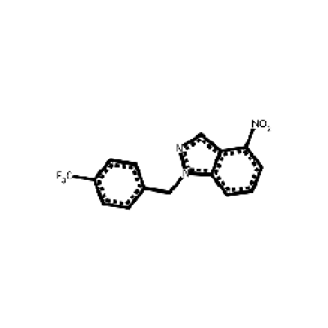 O=[N+]([O-])c1cccc2c1cnn2Cc1ccc(C(F)(F)F)cc1